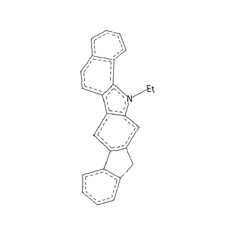 CCn1c2cc3c(cc2c2ccc4ccccc4c21)-c1ccccc1C3